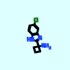 NC1(c2nc3cc(Cl)ccc3[nH]2)CCC1